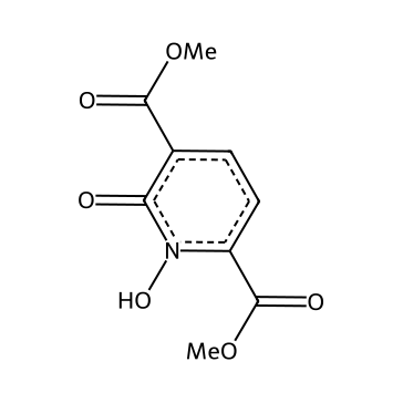 COC(=O)c1ccc(C(=O)OC)n(O)c1=O